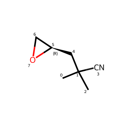 CC(C)(C#N)C[C@@H]1CO1